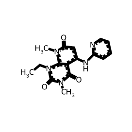 CCn1c(=O)n(C)c(=O)c2c(Nc3ccccn3)cc(=O)n(C)c21